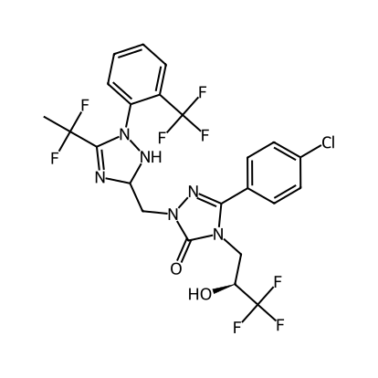 CC(F)(F)C1=NC(Cn2nc(-c3ccc(Cl)cc3)n(C[C@H](O)C(F)(F)F)c2=O)NN1c1ccccc1C(F)(F)F